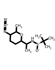 CC(N[S+]([O-])C(C)(C)C)C1CCC(N=[N+]=[N-])C(C)O1